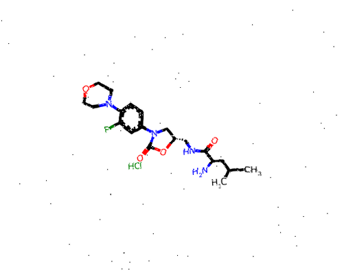 CC(C)CC(N)C(=O)NC[C@H]1CN(c2ccc(N3CCOCC3)c(F)c2)C(=O)O1.Cl